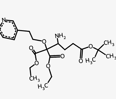 CCOC(=O)C(OCCc1cccnc1)(C(=O)OCC)C(N)CCC(=O)OC(C)(C)C